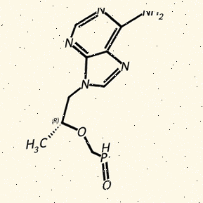 C[C@H](Cn1cnc2c(N)ncnc21)OC[PH]=O